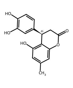 Cc1cc(O)c2c(c1)OC(=O)C[C@@H]2c1ccc(O)c(O)c1